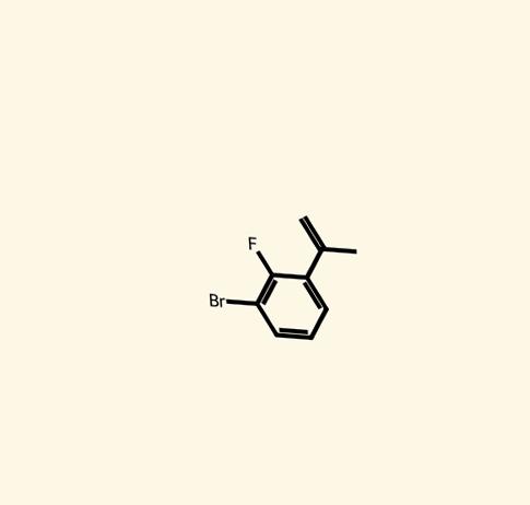 C=C(C)c1cccc(Br)c1F